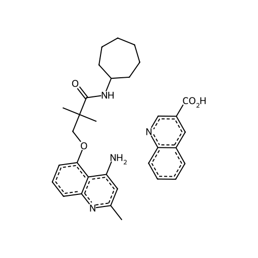 Cc1cc(N)c2c(OCC(C)(C)C(=O)NC3CCCCCC3)cccc2n1.O=C(O)c1cnc2ccccc2c1